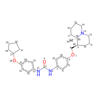 O=C(Nc1ccc(OC[C@@H]2CCCN3CCCC[C@H]23)cc1)Nc1ccc(OC2CCCC2)cc1